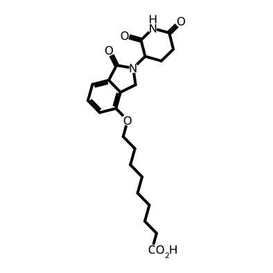 O=C(O)CCCCCCCCOc1cccc2c1CN(C1CCC(=O)NC1=O)C2=O